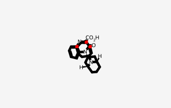 O=C(O)c1nc2ccccc2n([C@H]2C[C@H]3CCC[C@@H](C2)N3C2/C=C\CCCCC2)c1=O